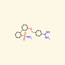 N=C(N)c1ccc(COc2cccc(-c3ccccc3S(N)(=O)=O)c2)cc1